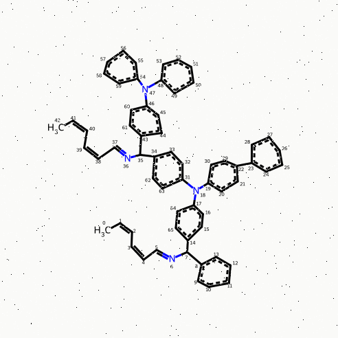 C\C=C/C=C\C=N\C(c1ccccc1)c1ccc(N(c2ccc(-c3ccccc3)cc2)c2ccc(C(/N=C/C=C\C=C/C)c3ccc(N(c4ccccc4)c4ccccc4)cc3)cc2)cc1